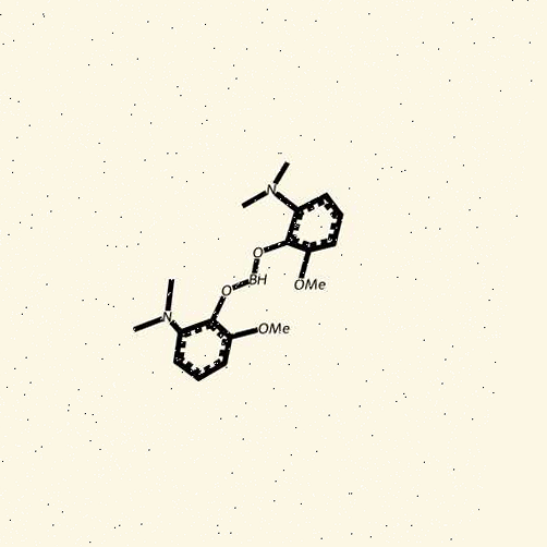 COc1cccc(N(C)C)c1OBOc1c(OC)cccc1N(C)C